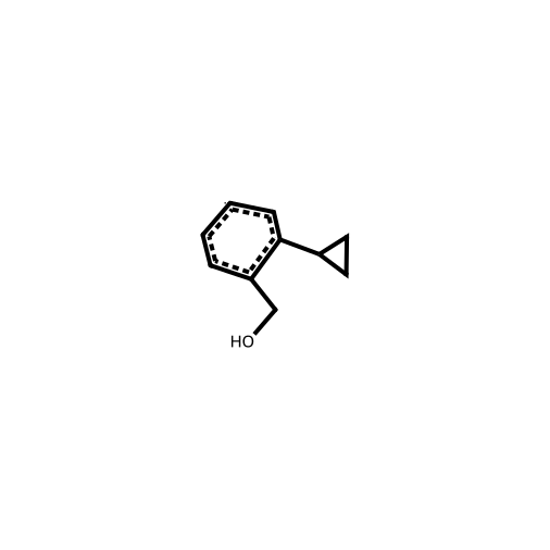 OCc1cc[c]cc1C1CC1